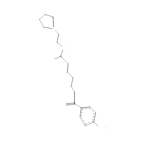 COc1ccc(C(=O)CCCCCC(O)NCCN2CCCC2)cc1